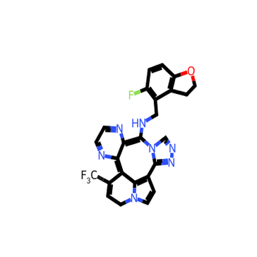 Fc1ccc2c(c1CNC1=c3nccnc3=C3C(C(F)(F)F)=CCn4ccc(c43)-c3nncn31)CCO2